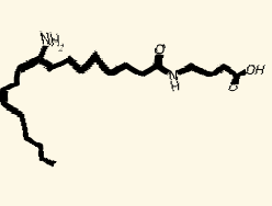 CCCCC/C=C\C/C=C(/N)CCCCCCCC(=O)NCCCC(=O)O